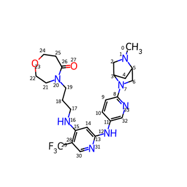 CN1CC2CC1CN2c1ccc(Nc2cc(NCCCN3CCOCCC3=O)c(C(F)(F)F)cn2)cn1